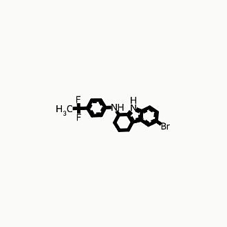 CC(F)(F)c1ccc(NC2CCCc3c2[nH]c2ccc(Br)cc32)cc1